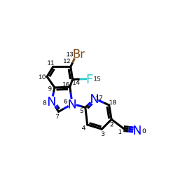 N#Cc1ccc(-n2cnc3ccc(Br)c(F)c32)nc1